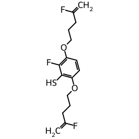 C=C(F)CCCOc1ccc(OCCCC(=C)F)c(S)c1F